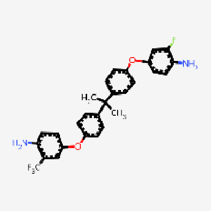 CC(C)(c1ccc(Oc2ccc(N)c(F)c2)cc1)c1ccc(Oc2ccc(N)c(C(F)(F)F)c2)cc1